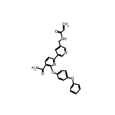 C=CC(=O)NCc1cncc(-c2ccc(C(N)=O)c(Oc3ccc(Oc4ccccc4)cc3)n2)c1